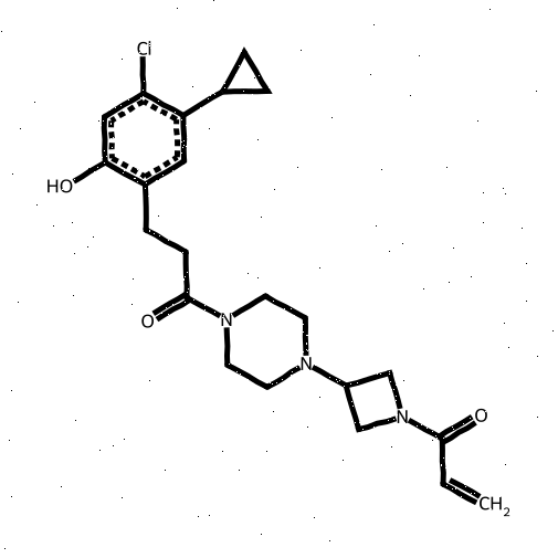 C=CC(=O)N1CC(N2CCN(C(=O)CCc3cc(C4CC4)c(Cl)cc3O)CC2)C1